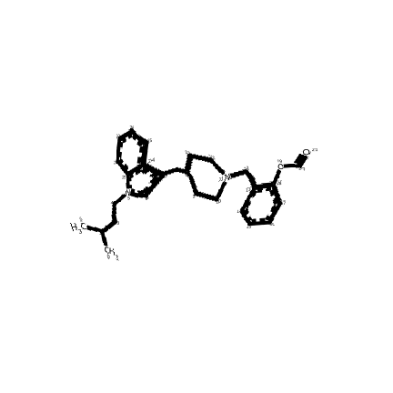 CC(C)CCn1cc(C2CCN(Cc3ccccc3OC=O)CC2)c2ccccc21